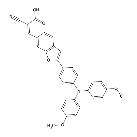 COc1ccc(N(c2ccc(OC)cc2)c2ccc(-c3cc4ccc(C=C(C#N)C(=O)O)cc4o3)cc2)cc1